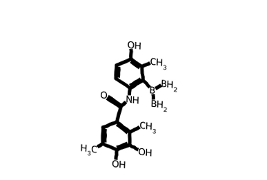 BB(B)c1c(NC(=O)c2cc(C)c(O)c(O)c2C)ccc(O)c1C